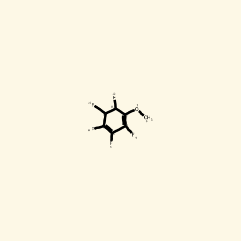 COC1=C(F)C(F)=C(F)C(F)C1F